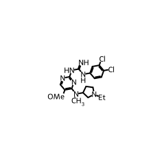 CCN1CCC(N(C)c2nc(NC(=N)Nc3ccc(Cl)c(Cl)c3)ncc2OC)C1